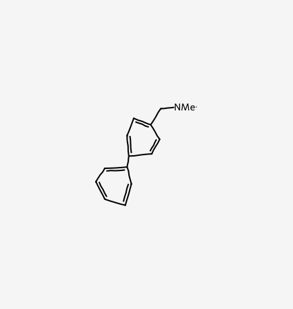 C[N]Cc1ccc(-c2ccccc2)cc1